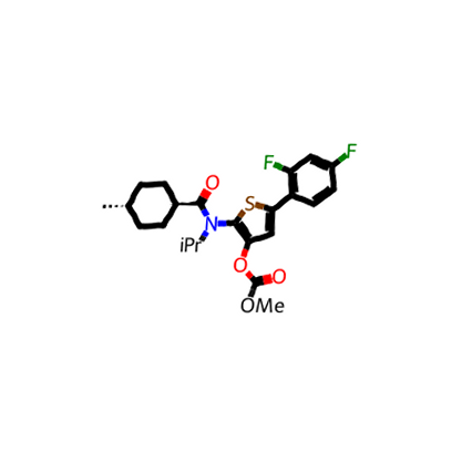 COC(=O)Oc1cc(-c2ccc(F)cc2F)sc1N(C(=O)[C@H]1CC[C@H](C)CC1)C(C)C